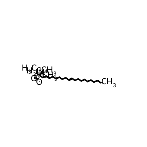 CCCCCCCCCCC=CCCCCCCCCC(CCC)(P(=O)=O)[N+](C)(C)C